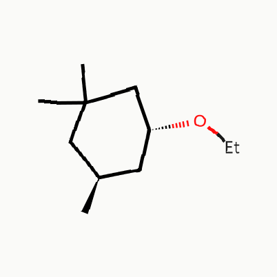 CCO[C@@H]1C[C@@H](C)CC(C)(C)C1